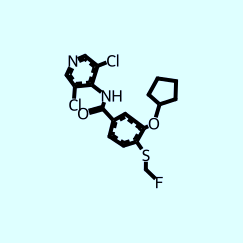 O=C(Nc1c(Cl)cncc1Cl)c1ccc(SCF)c(OC2CCCC2)c1